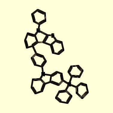 c1ccc(-n2c3cccc(-c4ccc(-n5c6ccccc6c6cc([Si](c7ccccc7)(c7ccccc7)c7ccccc7)ccc65)cc4)c3c3c4ccccc4sc32)cc1